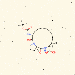 CC(C)(C)OC(=O)N[C@H]1CCCCCCC[C@@H]2C[C@@]2(C(=O)O)NC(=O)[C@@H]2CCCN2C1=O